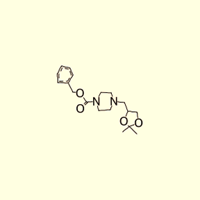 CC1(C)OCC(CN2CCN(C(=O)OCc3ccccc3)CC2)O1